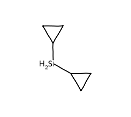 C1CC1[SiH2]C1CC1